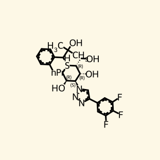 CCCc1ccccc1C([SH]1C[C@H](O)[C@H](n2cc(-c3cc(F)c(F)c(F)c3)nn2)[C@@H](O)[C@H]1CO)C(C)(C)O